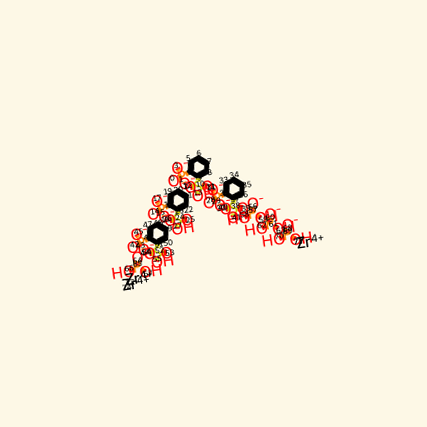 O=P([O-])([O-])c1ccccc1S(=O)(=O)O.O=P([O-])([O-])c1ccccc1S(=O)(=O)O.O=P([O-])([O-])c1ccccc1S(=O)(=O)O.O=P([O-])([O-])c1ccccc1S(=O)(=O)O.[O-]P(O)O.[O-]P(O)O.[O-]P(O)O.[O-]P(O)O.[Zr+4].[Zr+4].[Zr+4]